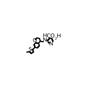 Cc1ccc(-c2ccc3c(c2)OCCC3CNc2cnccc2C(=O)O)s1